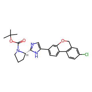 CC(C)(C)OC(=O)N1CCC[C@H]1c1ncc(-c2ccc3c(c2)OCc2cc(Cl)ccc2-3)[nH]1